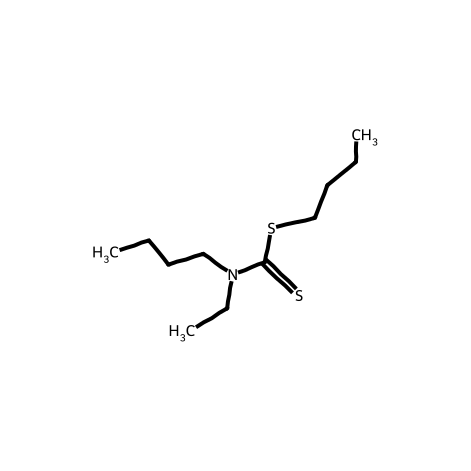 CCCCSC(=S)N(CC)CCCC